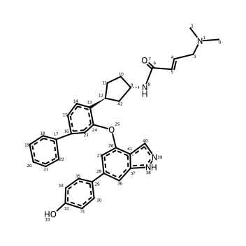 CN(C)C/C=C/C(=O)N[C@H]1CC[C@H](c2ccc(-c3ccccc3)cc2Oc2cc(-c3ccc(O)cc3)cc3[nH]ncc23)C1